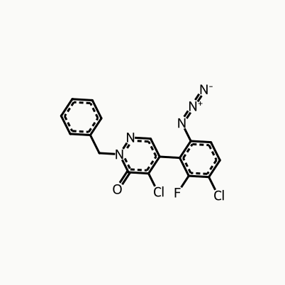 [N-]=[N+]=Nc1ccc(Cl)c(F)c1-c1cnn(Cc2ccccc2)c(=O)c1Cl